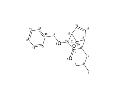 CC(C)CC1C(=O)N(OCc2ccccc2)C2C=CC1C2=O